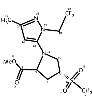 COC(=O)C1C[C@@H](S(C)(=O)=O)CN1c1cc(C)nn1CC(F)(F)F